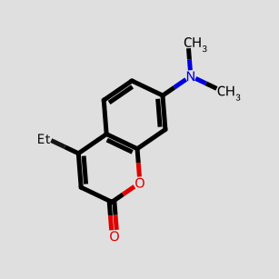 CCc1cc(=O)oc2cc(N(C)C)ccc12